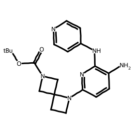 CC(C)(C)OC(=O)N1CC2(CCN2c2ccc(N)c(Nc3ccncc3)n2)C1